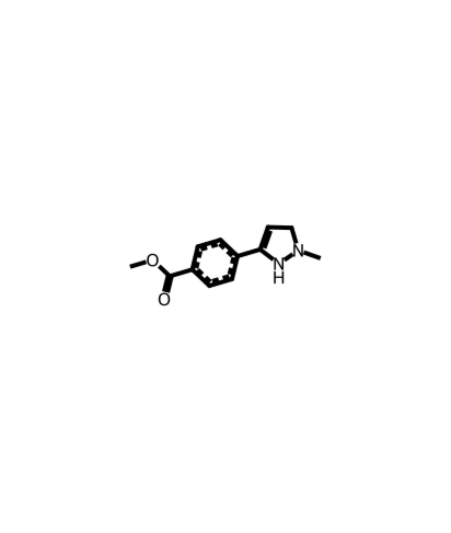 COC(=O)c1ccc(C2=CCN(C)N2)cc1